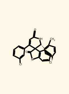 Cc1ccc(F)cc1[C@H]1NC(=O)C=C(c2cccc(Cl)c2)C12C(=O)[N]c1cc(Cl)ccc12